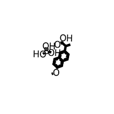 COc1ccc2cc(C(C)C(=O)O)ccc2c1.OB(O)O